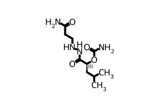 CC(C)C[C@H](OC(N)=O)C(=O)NNCCC(N)=O